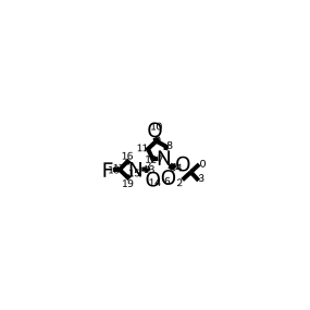 CC(C)(C)OC(=O)N1CC(=O)C[C@H]1C(=O)N1CC(F)C1